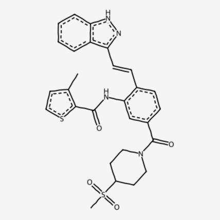 Cc1ccsc1C(=O)Nc1cc(C(=O)N2CCC(S(C)(=O)=O)CC2)ccc1/C=C/c1n[nH]c2ccccc12